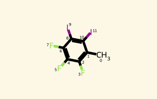 Cc1c(F)c(F)c(F)c(I)c1I